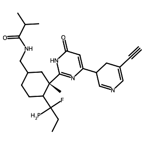 C#CC1=CN=CC(c2cc(=O)[nH]c([C@@]3(C)CC(CNC(=O)C(C)C)CCC3C(F)(P)CC)n2)C1